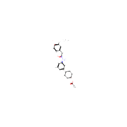 COc1cc(CC(=O)Nc2cccc([C@H]3CC[C@@H](OC(=O)C(C)C)CC3)c2)ccc1O